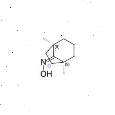 C[C@]12CCC[C@](C)(CC1)/C2=N/O